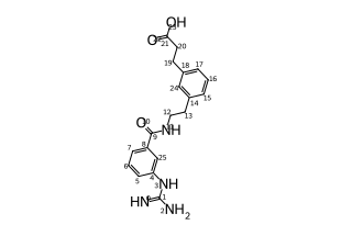 N=C(N)Nc1cccc(C(=O)NCCc2cccc(CCC(=O)O)c2)c1